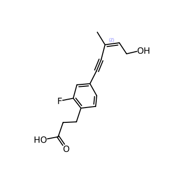 C/C(C#Cc1ccc(CCC(=O)O)c(F)c1)=C/CO